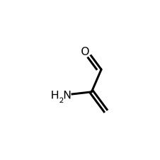 C=C(N)C=O